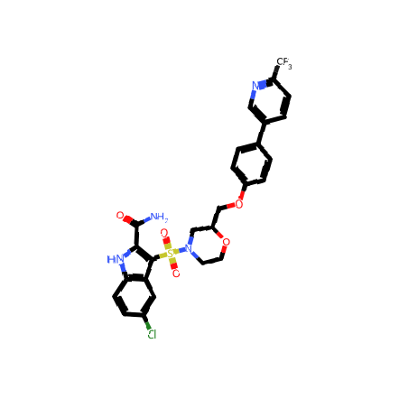 NC(=O)c1[nH]c2ccc(Cl)cc2c1S(=O)(=O)N1CCOC(COc2ccc(-c3ccc(C(F)(F)F)nc3)cc2)C1